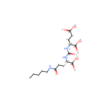 CCCCCNC(=O)CC[C@H](NC(=O)N[C@@H](CCC(=O)O)C(=O)O)C(=O)O